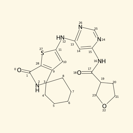 O=C1NC2(CCCCC2)c2cc(Nc3cc(NC(=O)C4CCOC4)ncn3)sc21